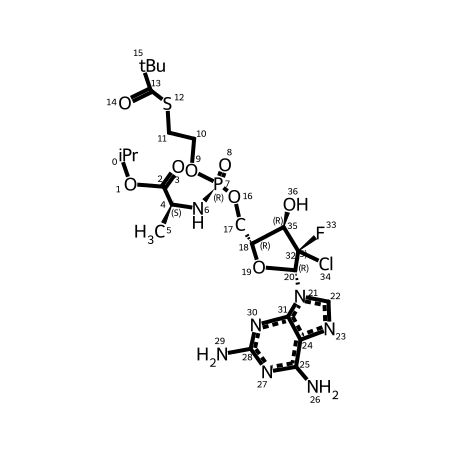 CC(C)OC(=O)[C@H](C)N[P@](=O)(OCCSC(=O)C(C)(C)C)OC[C@H]1O[C@@H](n2cnc3c(N)nc(N)nc32)[C@@](F)(Cl)[C@@H]1O